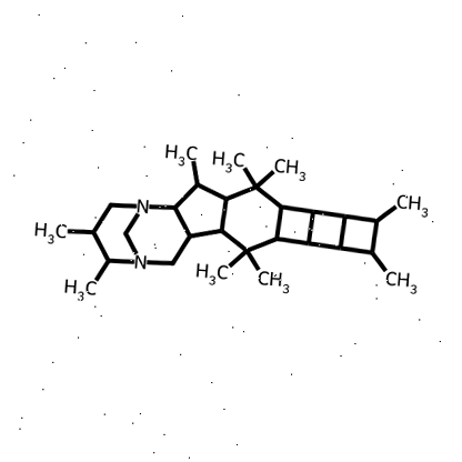 CC1CN2CN(CC3C2C(C)C2C3C(C)(C)C3C4C5C(C)C(C)C5C4C3C2(C)C)C1C